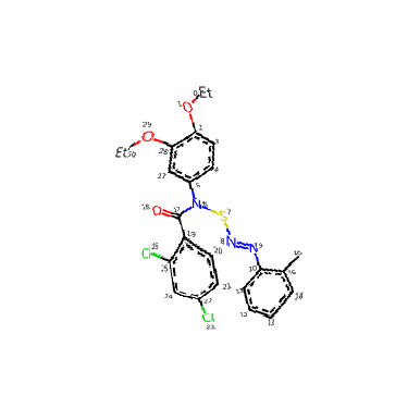 CCOc1ccc(N(SN=Nc2ccccc2C)C(=O)c2ccc(Cl)cc2Cl)cc1OCC